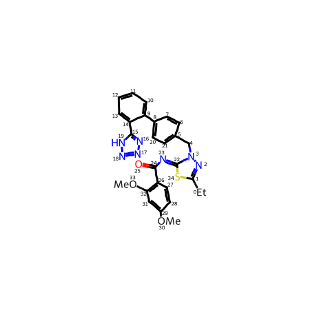 CCc1nn(Cc2ccc(-c3ccccc3-c3nnn[nH]3)cc2)c(=NC(=O)c2ccc(OC)cc2OC)s1